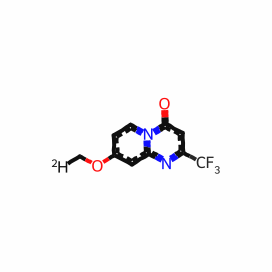 [2H]COc1ccn2c(=O)cc(C(F)(F)F)nc2c1